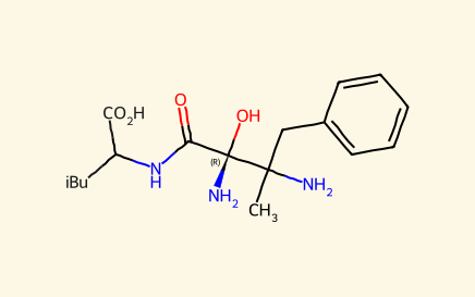 CCC(C)C(NC(=O)[C@](N)(O)C(C)(N)Cc1ccccc1)C(=O)O